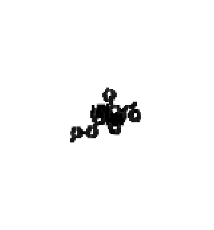 C=C(/C=C(\C=C/Nc1ccccc1)C1C=C(C2=CCCC=C2)C(Nc2ccc(C3C=C(c4cccc(C)c4)C=CC3)cc2)=CC1)C1C=CC=CC1